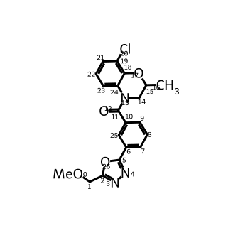 COCc1nnc(-c2cccc(C(=O)N3CC(C)Oc4c(Cl)cccc43)c2)o1